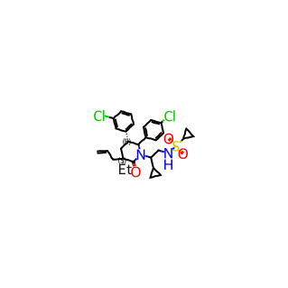 C=CC[C@@]1(CC)C[C@H](c2cccc(Cl)c2)C(c2ccc(Cl)cc2)N(C(CNS(=O)(=O)C2CC2)C2CC2)C1=O